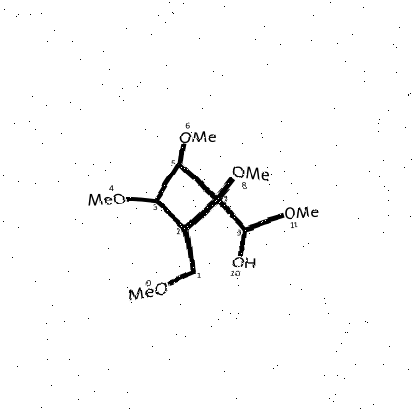 COCC1C(OC)C(OC)C1(OC)C(O)OC